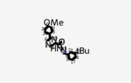 COc1ccc(-c2cncc(C(=O)N/N=C/c3cccc(C(C)(C)C)c3)n2)cc1